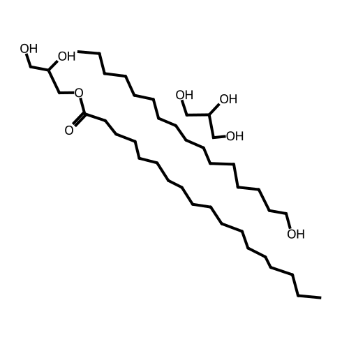 CCCCCCCCCCCCCCCCCC(=O)OCC(O)CO.CCCCCCCCCCCCCCCCO.OCC(O)CO